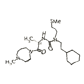 CSCCN(CCC1CCCCC1)C(=O)N[C@@H](C)C(=O)N1CCN(C)CC1